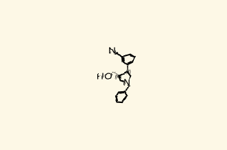 N#Cc1cccc([C@H]2CN(Cc3ccccc3)C[C@@H]2CO)c1